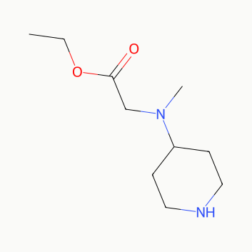 CCOC(=O)CN(C)C1CCNCC1